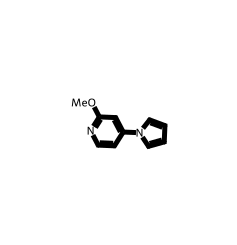 COc1cc(-n2cccc2)ccn1